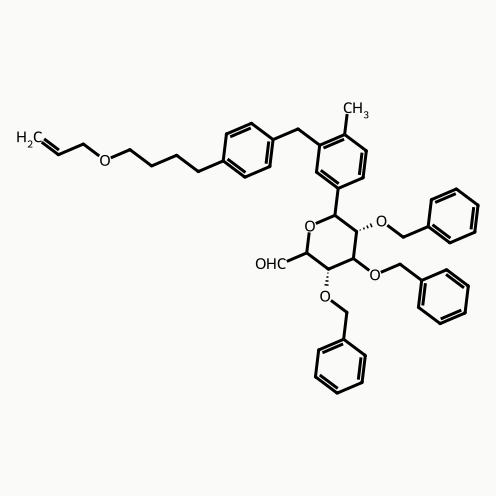 C=CCOCCCCc1ccc(Cc2cc(C3OC(C=O)[C@@H](OCc4ccccc4)C(OCc4ccccc4)[C@H]3OCc3ccccc3)ccc2C)cc1